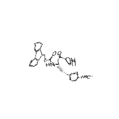 [C-]#[N+]c1ccc(C[C@H](NC(=O)OCC2c3ccccc3-c3ccccc32)C(=O)O)cc1